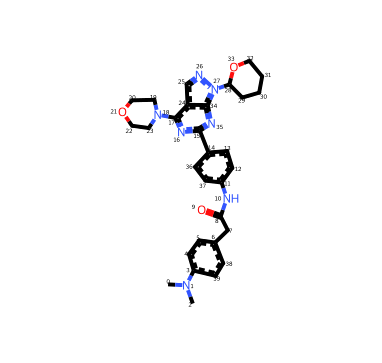 CN(C)c1ccc(CC(=O)Nc2ccc(-c3nc(N4CCOCC4)c4cnn(C5CCCCO5)c4n3)cc2)cc1